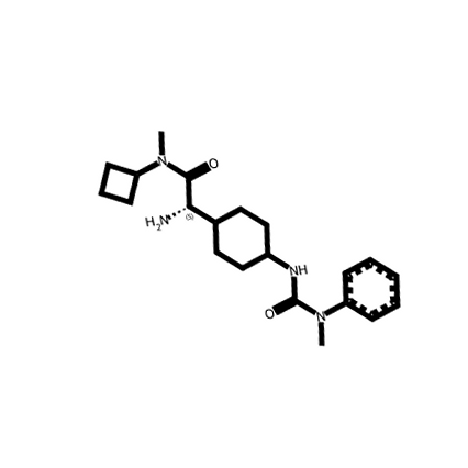 CN(C(=O)NC1CCC([C@H](N)C(=O)N(C)C2CCC2)CC1)c1ccccc1